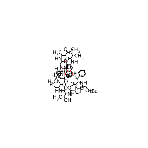 CC[C@H]1[C@H](N(C)C(=O)[C@H](C)N(C)C(=O)[C@H](CC(C)C)NC(=O)[C@H](NC(=O)[C@@H]2CCCN2C(=O)[C@H](Cc2ccccc2)NC(=O)COC(C)(C)C)[C@@H](C)O)C(=O)N1CC(=O)N[C@@H](C)CC(=O)N(C)[C@H](C)C(=O)N[C@@H](Cc1ccccc1)C(=O)N(C)[C@@H](CC(C)C)C(N)=O